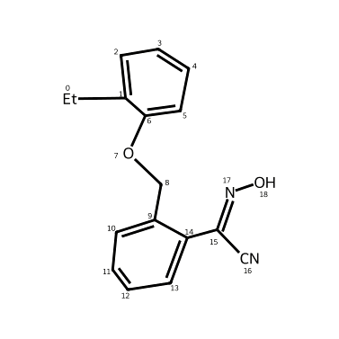 CCc1ccccc1OCc1ccccc1C(C#N)=NO